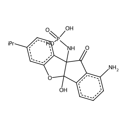 CC(C)c1ccc2c(c1)OC1(O)c3cccc(N)c3C(=O)C21NP(=O)(O)O